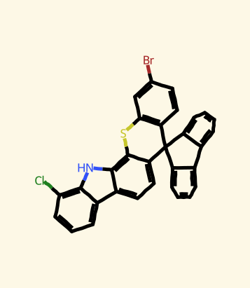 Clc1cccc2c1[nH]c1c3c(ccc12)C1(c2ccc(Br)cc2S3)c2ccccc2-c2ccccc21